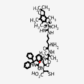 Cc1c(C)c(S(=O)(=O)N(C)C(=N)NCCC[C@H](N)C(=O)NC(C)(C)C(=O)N[C@@H](CC(=O)NC(c2ccccc2)(c2ccccc2)c2ccccc2)C(=O)N[C@@H](CS)C(=O)O)c(C)c2c1OC(C)(C)C2